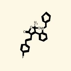 CC1(O)OC(=O)C(/C=C/c2ccc(F)cc2)=C1c1ccccc1OCc1ccccc1